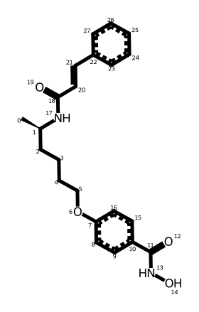 C[C@H](CCCCOc1ccc(C(=O)NO)cc1)NC(=O)/C=C/c1ccccc1